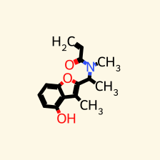 C=CC(=O)N(C)C(C)c1oc2cccc(O)c2c1C